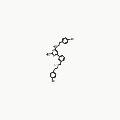 Oc1ccc(CCNCc2cccc(-c3cc(NCCc4ccc(O)cc4)nc(O)n3)c2)cc1